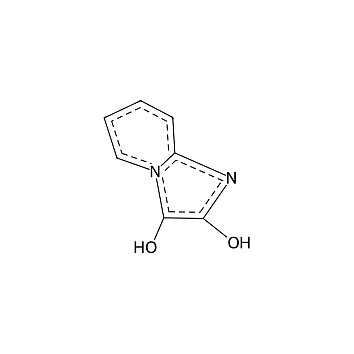 Oc1nc2ccccn2c1O